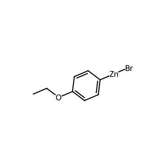 CCOc1cc[c]([Zn][Br])cc1